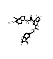 Cc1c(C(=O)O)ccc2c1CC[C@@H]2NC(=O)c1cc(C(=O)NCc2ccc3oc(=O)n(C)c3c2)nc2nnnn12